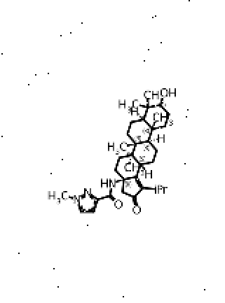 CC(C)C1=C2[C@H]3CC[C@@H]4[C@@]5(C)CC[C@H](O)C(C)(C)[C@@H]5CC[C@@]4(C)[C@]3(C)CC[C@@]2(NC(=O)c2ccn(C)n2)CC1=O